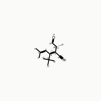 CC(C)=C/C(=C(/C#N)[C@@H](C)C=O)C(C)(C)C